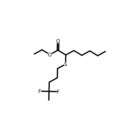 CCCCCC(SCCCC(C)(F)F)C(=O)OCC